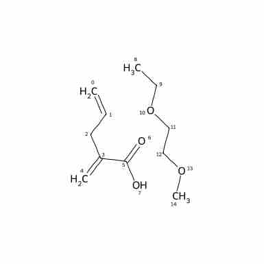 C=CCC(=C)C(=O)O.CCOCCOC